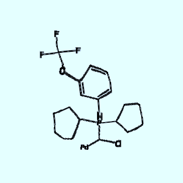 FC(F)(F)Oc1cccc([PH]([CH](Cl)[Pd])(C2CCCC2)C2CCCC2)c1